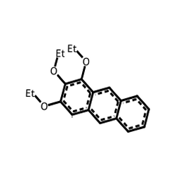 CCOc1[c]c2cc3ccccc3cc2c(OCC)c1OCC